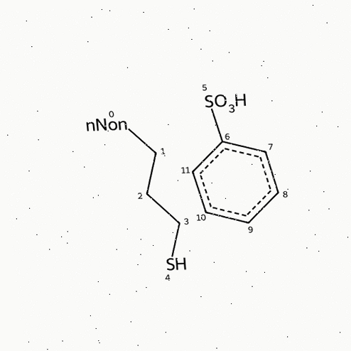 CCCCCCCCCCCCS.O=S(=O)(O)c1ccccc1